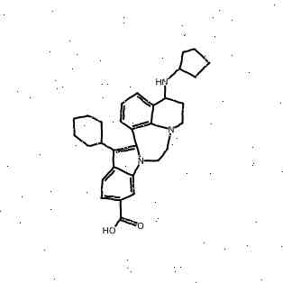 O=C(O)c1ccc2c(C3CCCCC3)c3n(c2c1)CCN1CCC(NC2CCCC2)c2cccc-3c21